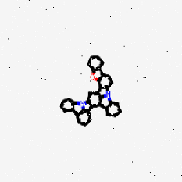 c1ccc2c(c1)oc1c2ccc2c1c1cc3c(c4cccc5c6ccccc6n3c54)c3c4ccccc4n2c13